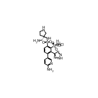 Cl.Cl.NC[C@]1(NS(=O)(=O)c2ccc(-c3ccc(N)nc3)c(-c3nn[nH]n3)c2S(N)(=O)=O)CCNC1